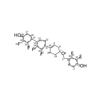 Oc1ccc(COC2CC=C(c3ccc(-c4ccc(O)c(F)c4F)c(F)c3F)CC2)c(F)c1F